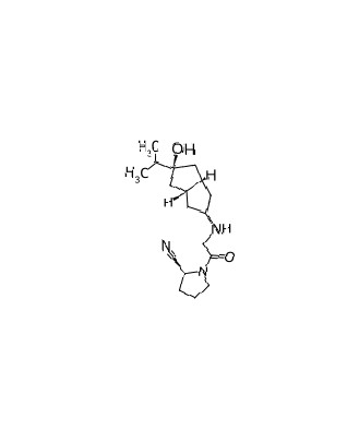 CC(C)[C@@]1(O)C[C@H]2CC(NCC(=O)N3CCC[C@H]3C#N)C[C@H]2C1